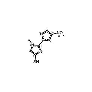 Cn1cc(S)nc1-c1ncc([N+](=O)[O-])s1